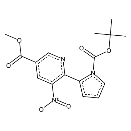 COC(=O)c1cnc(-c2cccn2C(=O)OC(C)(C)C)c([N+](=O)[O-])c1